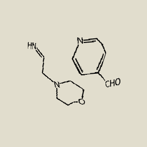 N=CCN1CCOCC1.O=Cc1ccncc1